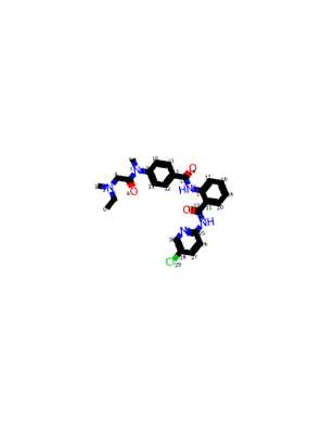 CCN(C)CC(=O)N(C)c1ccc(C(=O)Nc2ccccc2C(=O)Nc2ccc(Cl)cn2)cc1